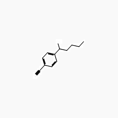 CCCCC(O)c1ccc(C#N)cc1